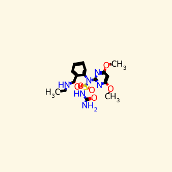 CCNC(=O)c1ccccc1N(c1nc(OC)cc(OC)n1)S(=O)(=O)NC(N)=O